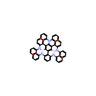 c1ccc(N2B3c4c5c6c(c(N(c7ccccc7)c7ccccc7)c4-c4ccccc42)-c2ccccc2N(c2ccccc2)B6N(c2ccccc2)c2cccc(c2-5)N3c2ccccc2)cc1